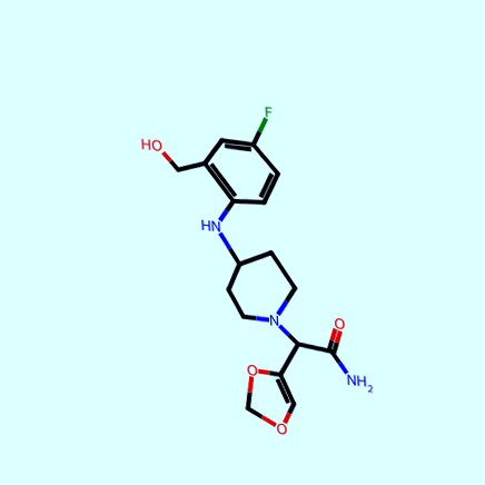 NC(=O)C(C1=COCO1)N1CCC(Nc2ccc(F)cc2CO)CC1